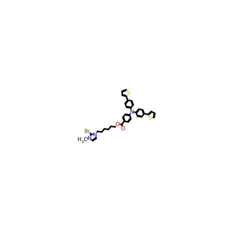 CN1C=CN(CCCCCCOC(=O)c2ccc(N(c3ccc(-c4cccs4)cc3)c3ccc(-c4cccs4)cc3)cc2)C1Br